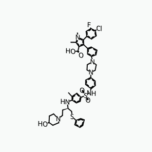 Cc1cc(S(=O)(=O)Nc2ccc(N3CCN(c4cccc(-c5c(C(=O)O)c(C)n(C)c5-c5ccc(Cl)c(F)c5)c4)CC3)cc2)ccc1N[C@H](CCN1CCC(O)CC1)CSc1ccccc1